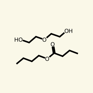 CCCCOC(=O)CCC.OCCOCCO